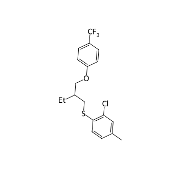 CCC(COc1ccc(C(F)(F)F)cc1)CSc1ccc(C)cc1Cl